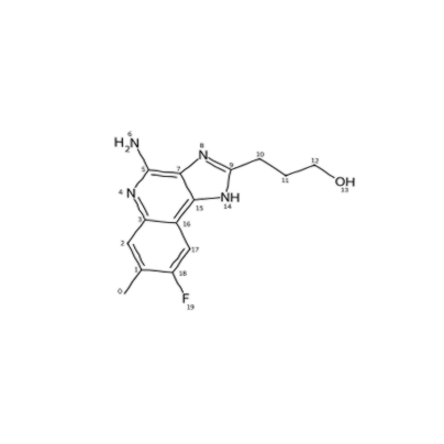 Cc1cc2nc(N)c3nc(CCCO)[nH]c3c2cc1F